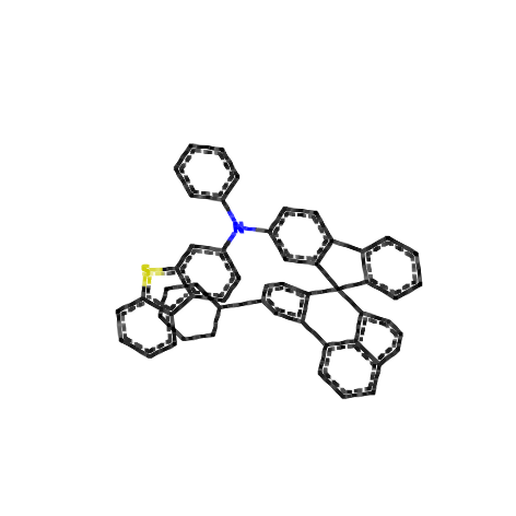 c1ccc(N(c2ccc3c(c2)C2(c4ccccc4-3)c3ccc(C4CCCCC4)cc3-c3cccc4cccc2c34)c2ccc3c(c2)sc2ccccc23)cc1